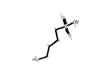 O=S(=O)(O)C[CH]CCO